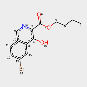 CCCCOC(=O)c1ncc2ccc(Br)cc2c1O